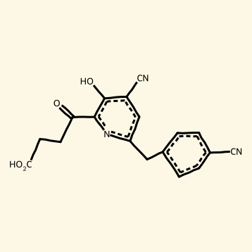 N#Cc1ccc(Cc2cc(C#N)c(O)c(C(=O)CCC(=O)O)n2)cc1